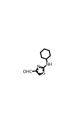 O=Cc1csc(NC2CCCCC2)n1